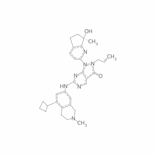 C=CCn1c(=O)c2cnc(Nc3cc4c(c(C5CCC5)c3)CCN(C)C4)nc2n1-c1ccc2c(n1)[C@](C)(O)CC2